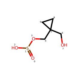 O=S(O)OCC1(CO)CC1